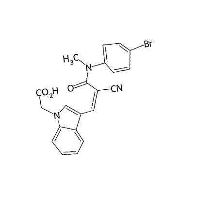 CN(C(=O)C(C#N)=Cc1cn(CC(=O)O)c2ccccc12)c1ccc(Br)cc1